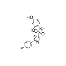 O=S(=O)(Nc1ccc(O)cc1O)c1cnc(-c2ccc(F)cc2)s1